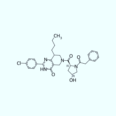 CCCCC1CN(C(=O)[C@@H]2C[C@@H](O)CN2C(=O)Cc2ccccc2)Cc2c1nc(-c1ccc(Cl)cc1)[nH]c2=O